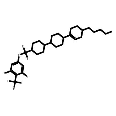 CCCCCC1CC=C(C2CCC(C3CCC(C(F)(F)Oc4cc(F)c(C(F)(F)F)c(F)c4)CC3)CC2)CC1